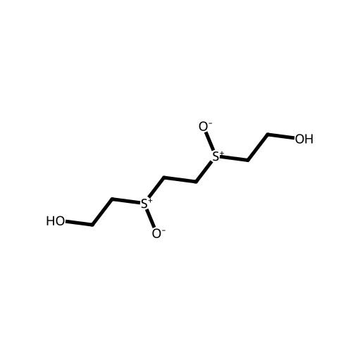 [O-][S+](CCO)CC[S+]([O-])CCO